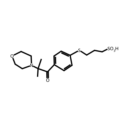 CC(C)(C(=O)c1ccc(SCCCS(=O)(=O)O)cc1)N1CCOCC1